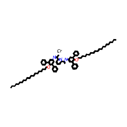 CCCCCCCCCCCCCCCCCCCCOc1c(-c2ccccc2)cc(N=C(C)c2cccc(C(C)=Nc3cc(-c4ccccc4)c(OCCCCCCCCCCCCCCCCCCCC)c(-c4ccccc4)c3)n2)cc1-c1ccccc1.[Cr]